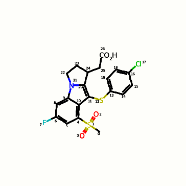 CS(=O)(=O)c1cc(F)cc2c1c(Sc1ccc(Cl)cc1)c1n2CCC1CC(=O)O